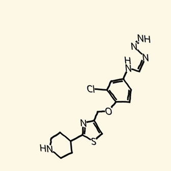 N=N/N=C\Nc1ccc(OCc2csc(C3CCNCC3)n2)c(Cl)c1